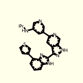 CC(C)Nc1cncc(-c2cc3c(-c4nc5c(-c6ccsc6)cccc5[nH]4)n[nH]c3cn2)c1